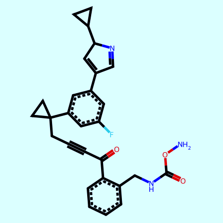 NOC(=O)NCc1ccccc1C(=O)C#CCC1(c2cc(F)cc(C3=CC(C4CC4)N=C3)c2)CC1